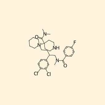 CN(C)C(=O)C1([N+]2(CCC(CN(C)C(=O)c3ccc(F)cc3)c3ccc(Cl)c(Cl)c3)CCCCC2)CCNCC1